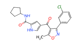 Cc1onc(-c2cccc(Cl)c2)c1C(=O)c1c[nH]c(C(=O)NC2CCCC2)c1